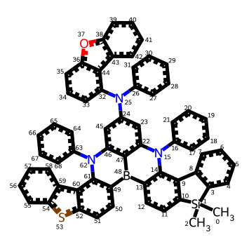 C[Si]1(C)c2ccccc2-c2c1ccc1c2N(c2ccccc2)c2cc(N(c3ccccc3)c3cccc4oc5ccccc5c34)cc3c2B1c1ccc2sc4ccccc4c2c1N3c1ccccc1